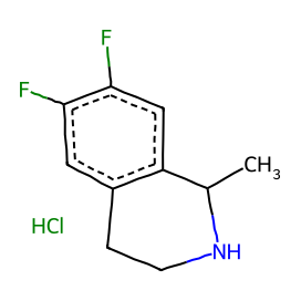 CC1NCCc2cc(F)c(F)cc21.Cl